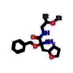 CCOC(CC)CNC(=O)C(N)(C[C@H]1CCCO1)OCc1ccccc1